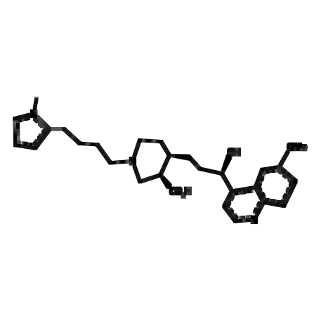 COc1ccc2nccc([C@H](O)CC[C@@H]3CCN(CCCCc4cccn4C)C[C@@H]3C(=O)O)c2c1